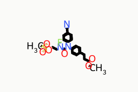 COC(=O)CCc1ccc(N(C(=O)N(F)CCOS(C)(=O)=O)c2ccc(C#N)cc2)cc1